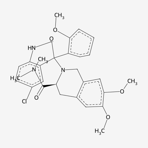 COc1cc2c(cc1OC)CN(C1(c3ccccc3OC)C(=O)Nc3ccc(Cl)cc31)[C@H](C(=O)N(C)C)C2